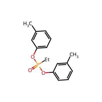 CCP(=O)(Oc1cccc(C)c1)Oc1cccc(C)c1